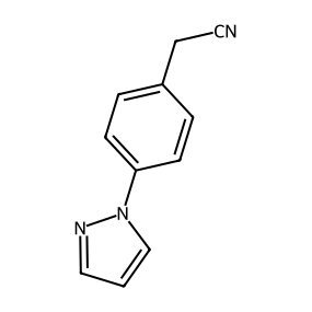 N#CCc1ccc(-n2cccn2)cc1